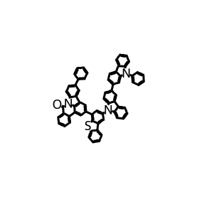 O=c1c2ccccc2c2cc(-c3cc(-n4c5ccccc5c5cc(-c6ccc7c8ccccc8n(-c8ccccc8)c7c6)ccc54)cc4c3sc3ccccc34)cc3c4cc(-c5ccccc5)ccc4n1c23